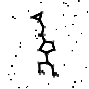 CCC(CC)N1CCC(NCC2CC2)C1